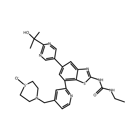 CCNC(=O)Nc1nc2cc(-c3cnc(C(C)(C)O)nc3)cc(-c3cc(CN4CC[S+]([O-])CC4)ccn3)c2s1